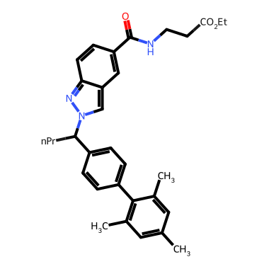 CCCC(c1ccc(-c2c(C)cc(C)cc2C)cc1)n1cc2cc(C(=O)NCCC(=O)OCC)ccc2n1